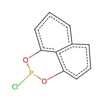 ClP1Oc2cccc3cccc(c23)O1